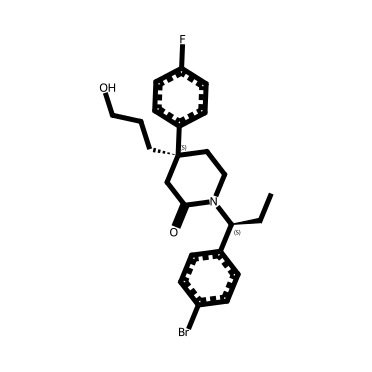 CC[C@@H](c1ccc(Br)cc1)N1CC[C@](CCCO)(c2ccc(F)cc2)CC1=O